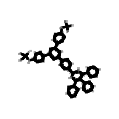 FC(F)(F)Oc1ccc(-c2cc(-c3ccc(OC(F)(F)F)cc3)cc(-c3ccc(-c4nc(-c5ccccc5)c(-c5ccccc5)c(-c5ccccc5)n4)cc3)c2)cc1